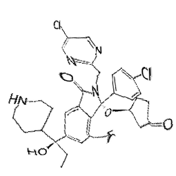 CC[C@@](O)(c1cc(F)c2c(c1)C(=O)N(Cc1ncc(Cl)cn1)[C@@]2(O[C@H]1CCC(=O)C1)c1ccc(Cl)cc1)C1CCNCC1